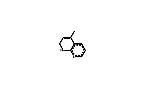 CC1=CCNc2ncccc21